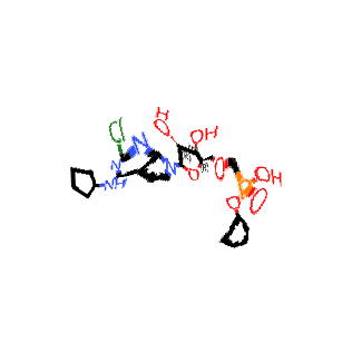 O=P(O)(COC[C@H]1OC(n2ccc3c(NC4CCCC4)nc(Cl)nc32)[C@H](O)[C@@H]1O)Oc1ccccc1